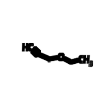 C#C[CH]OCC